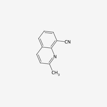 Cc1ccc2cccc(C#N)c2n1